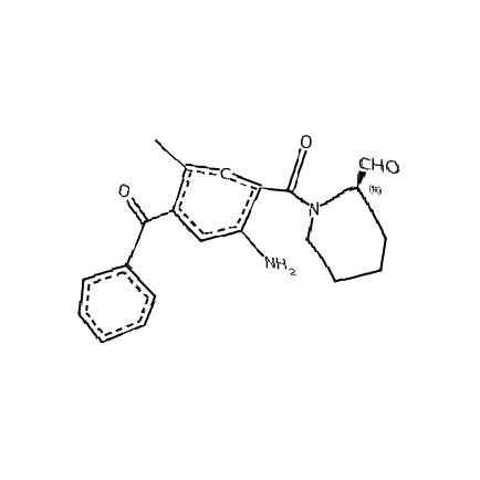 Cc1cc(C(=O)N2CCCC[C@@H]2C=O)c(N)cc1C(=O)c1ccccc1